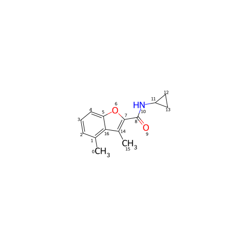 Cc1cccc2oc(C(=O)NC3CC3)c(C)c12